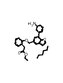 CCCCCC.CCOC(=O)Cc1ccccc1OCc1cc(-c2cccc(N)c2)c2occc2c1